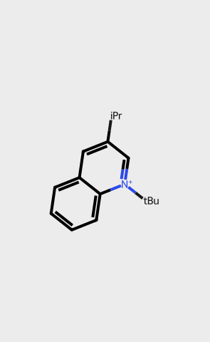 CC(C)c1cc2ccccc2[n+](C(C)(C)C)c1